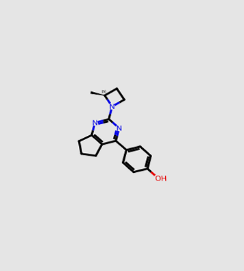 C[C@H]1CCN1c1nc2c(c(-c3ccc(O)cc3)n1)CCC2